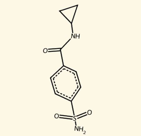 NS(=O)(=O)c1ccc(C(=O)NC2CC2)cc1